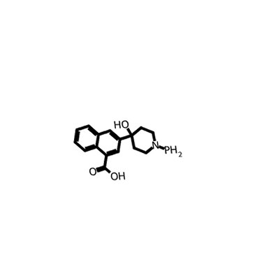 O=C(O)c1cc(C2(O)CCN(P)CC2)cc2ccccc12